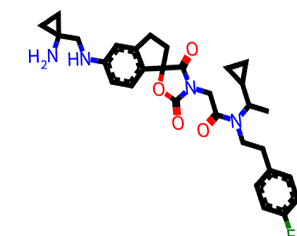 CC(C1CC1)N(CCc1ccc(F)cc1)C(=O)CN1C(=O)OC2(CCc3cc(NCC4(N)CC4)ccc32)C1=O